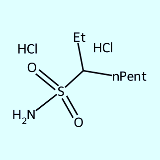 CCCCCC(CC)S(N)(=O)=O.Cl.Cl